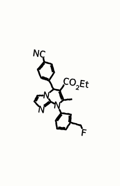 CCOC(=O)C1=C(C)N(c2cccc(CF)c2)c2nccn2C1c1ccc(C#N)cc1